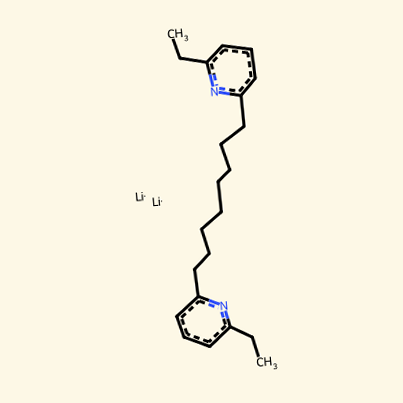 CCc1cccc(CCCCCCCCc2cccc(CC)n2)n1.[Li].[Li]